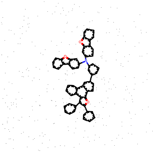 c1ccc(-c2oc3c4ccc(-c5cccc(N(c6ccc7c(c6)oc6ccccc67)c6ccc7c(c6)oc6ccccc67)c5)cc4c4ccccc4c3c2-c2ccccc2)cc1